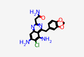 NC(=O)Cc1nc(Cc2ccc3c(c2)OCO3)c2c(N)c(Cl)c(N)cc2n1